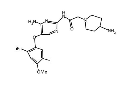 COc1cc(C(C)C)c(Oc2cnc(NC(=O)CN3CCC(N)CC3)nc2N)cc1I